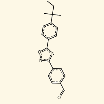 CCC(C)(C)c1ccc(-c2nc(-c3ccc(C=O)cc3)no2)cc1